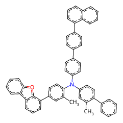 Cc1cc(N(c2ccc(-c3ccc(-c4cccc5ccccc45)cc3)cc2)c2ccc(-c3cccc4c3oc3ccccc34)cc2C)ccc1-c1ccccc1